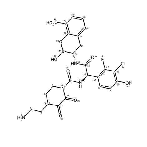 NCCN1CCN(C(=O)N[C@@H](C(=O)N[C@H]2Cc3cccc(C(=O)O)c3OB2O)c2ccc(O)c(Cl)c2F)C(=O)C1=O